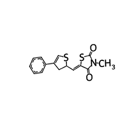 CN1C(=O)S/C(=C\C2CC(c3ccccc3)=CS2)C1=O